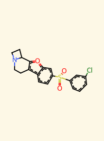 O=S(=O)(c1cccc(Cl)c1)c1ccc2c3c(oc2c1)C1CCN1CC3